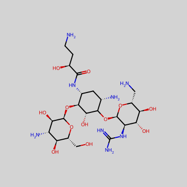 N=C(N)N[C@H]1[C@@H](OC2[C@@H](N)C[C@@H](NC(=O)[C@@H](O)CCN)[C@H](O[C@H]3O[C@H](CO)[C@@H](O)[C@H](N)[C@H]3O)[C@H]2O)O[C@H](CN)[C@@H](O)[C@@H]1O